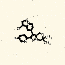 CC1(C)Cn2nc(-c3ccc(F)cn3)c(-c3ccn4ncc(Cl)c4c3)c2CO1